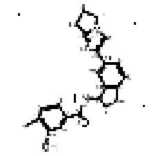 Cc1ccc(C(=O)NC2CCc3ccc(-c4cn5c(n4)CCC5)cc32)cc1O